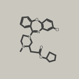 CN1CCN(C2=Nc3cc(Cl)ccc3Oc3ccccc32)CC1CC(=O)OC1CCCC1